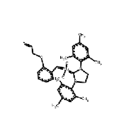 Cc1cc(C)c(N2CCN(c3c(C)cc(C)cc3C)[C]2=[Ru]([Cl])([Cl])=[CH]c2ccccc2OCC=S)c(C)c1